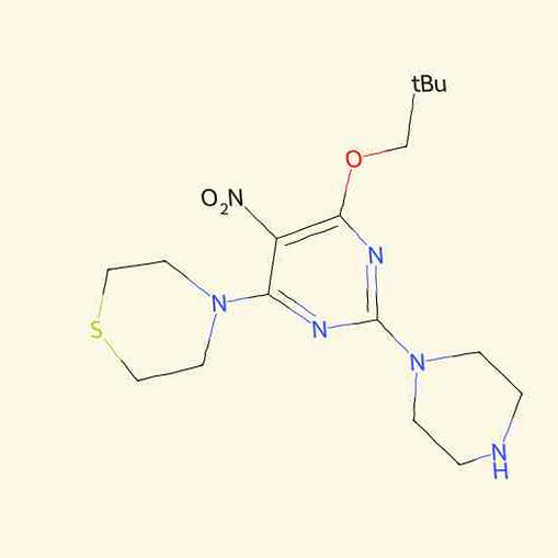 CC(C)(C)COc1nc(N2CCNCC2)nc(N2CCSCC2)c1[N+](=O)[O-]